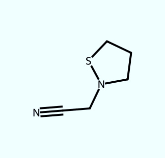 N#CCN1CCCS1